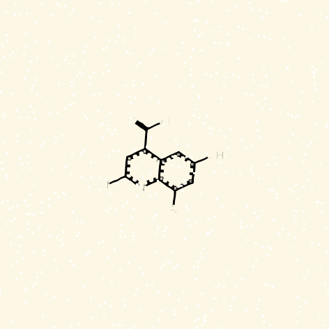 Cc1cc(Br)c2nc(Cl)cc(C(=O)Cl)c2c1